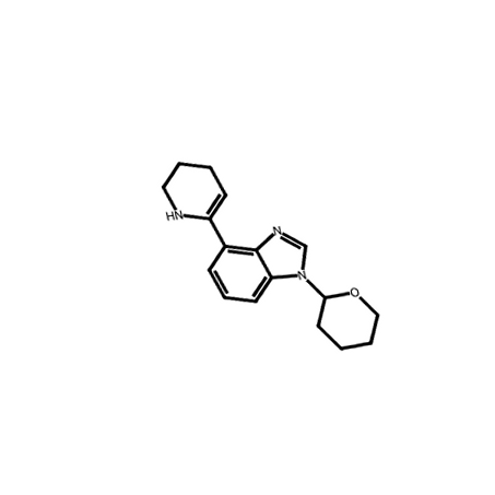 C1=C(c2cccc3c2ncn3C2CCCCO2)NCCC1